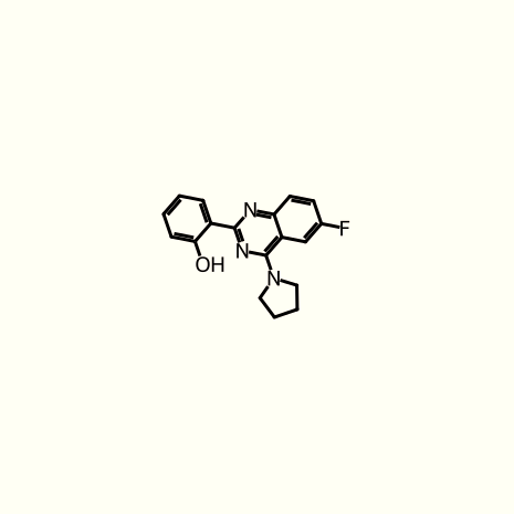 Oc1ccccc1-c1nc(N2CCCC2)c2cc(F)ccc2n1